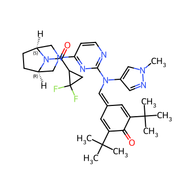 Cn1cc(N(C=C2C=C(C(C)(C)C)C(=O)C(C(C)(C)C)=C2)c2nccc(N3C[C@H]4CC[C@@H](C3)N4C(=O)C3CC3(F)F)n2)cn1